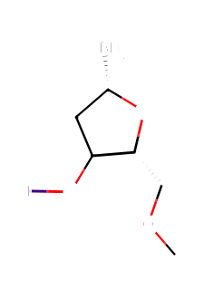 B[C@H]1CC(OI)[C@@H](COC)O1